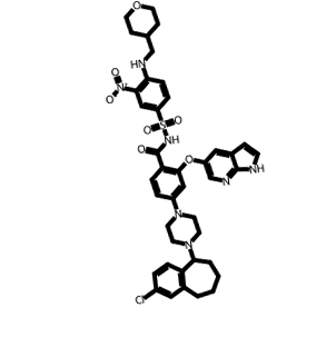 O=C(NS(=O)(=O)c1ccc(NCC2CCOCC2)c([N+](=O)[O-])c1)c1ccc(N2CCN(C3CCCCc4cc(Cl)ccc43)CC2)cc1Oc1cnc2[nH]ccc2c1